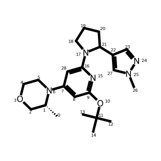 C[C@@H]1COCCN1c1cc(OC(C)(C)C)nc(N2CCCC2c2cnn(C)c2)c1